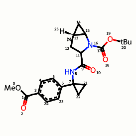 COC(=O)c1ccc(C2(NC(=O)C3C[C@@H]4CC4N3C(=O)OC(C)(C)C)CC2)cc1